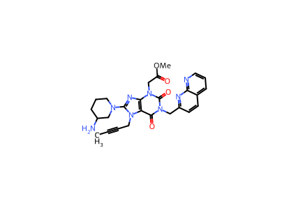 CC#CCn1c(N2CCCC(N)C2)nc2c1c(=O)n(Cc1ccc3cccnc3n1)c(=O)n2CC(=O)OC